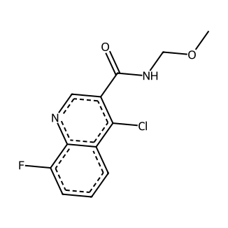 COCNC(=O)c1cnc2c(F)cccc2c1Cl